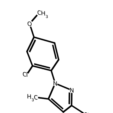 COc1ccc(-n2nc(C)cc2C)c(Cl)c1